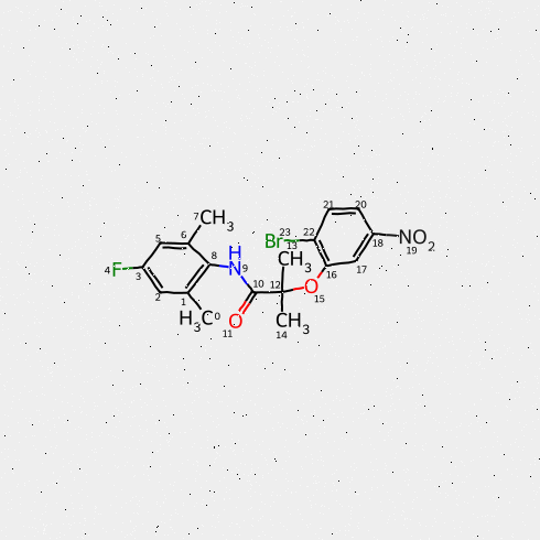 Cc1cc(F)cc(C)c1NC(=O)C(C)(C)Oc1cc([N+](=O)[O-])ccc1Br